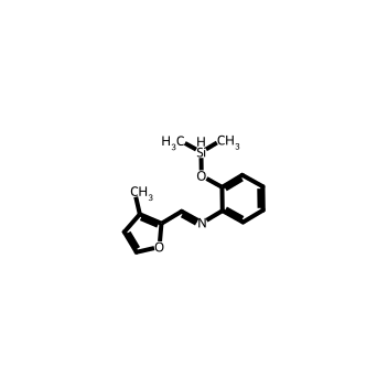 Cc1ccoc1C=Nc1ccccc1O[SiH](C)C